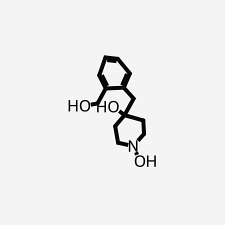 OCc1ccccc1CC1(O)CCN(O)CC1